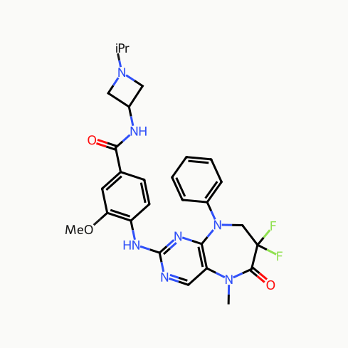 COc1cc(C(=O)NC2CN(C(C)C)C2)ccc1Nc1ncc2c(n1)N(c1ccccc1)CC(F)(F)C(=O)N2C